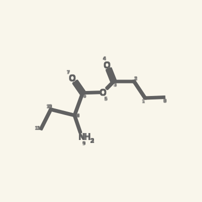 CCCC(=O)OC(=O)C(N)CC